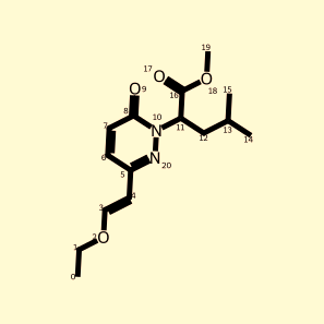 CCOC=Cc1ccc(=O)n(C(CC(C)C)C(=O)OC)n1